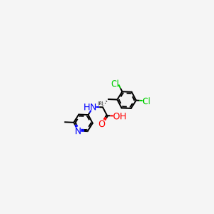 Cc1cc(N[C@H](Cc2ccc(Cl)cc2Cl)C(=O)O)ccn1